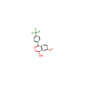 COc1ccc(C(=O)c2ccc(C(F)(F)F)cc2)c(C(=O)O)c1